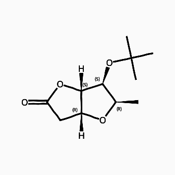 C[C@H]1O[C@@H]2CC(=O)O[C@@H]2[C@H]1OC(C)(C)C